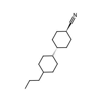 CCCC1CCC([C@H]2CC[C@H](C#N)CC2)CC1